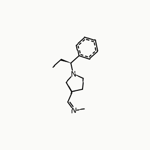 CC[C@@H](c1ccccc1)N1CCC(/C=N\C)C1